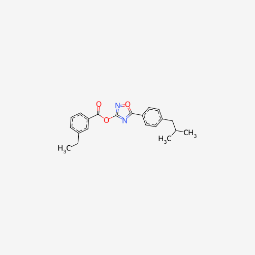 CCc1cccc(C(=O)Oc2noc(-c3ccc(CC(C)C)cc3)n2)c1